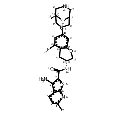 Cc1ccc2c(N)c(C(=O)N[C@H]3COc4cc(N5CC6CNC[C@@](C)(C5)O6)cc(F)c4C3)sc2n1